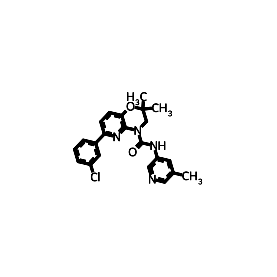 Cc1cncc(NC(=O)N2CC(C)(C)Oc3ccc(-c4cccc(Cl)c4)nc32)c1